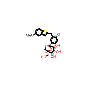 COc1ccc2sc(Cc3cc([C@]45OC[C@](CO)(O4)[C@@H](O)[C@H](O)[C@H]5O)ccc3Cl)cc2c1